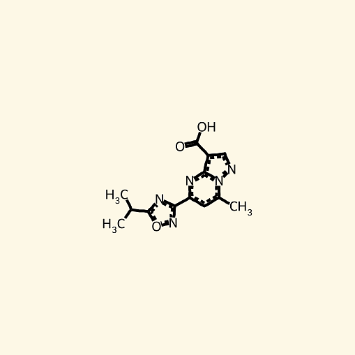 Cc1cc(-c2noc(C(C)C)n2)nc2c(C(=O)O)cnn12